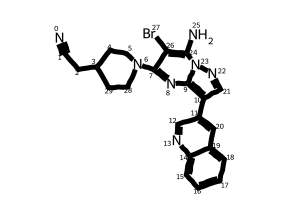 N#CCC1CCN(c2nc3c(-c4cnc5ccccc5c4)cnn3c(N)c2Br)CC1